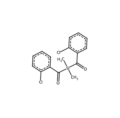 C[Si](C)(C(=O)c1ccccc1Cl)C(=O)c1ccccc1Cl